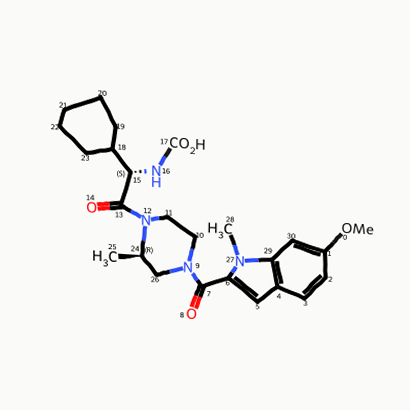 COc1ccc2cc(C(=O)N3CCN(C(=O)[C@@H](NC(=O)O)C4CCCCC4)[C@H](C)C3)n(C)c2c1